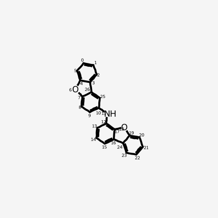 c1ccc2c(c1)oc1ccc(Nc3cccc4c3oc3ccccc34)cc12